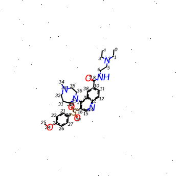 CCN(CC)CCNC(=O)c1ccc2ncc(S(=O)(=O)c3ccc(OC)cc3)c(N3CCCN(C)CC3)c2c1